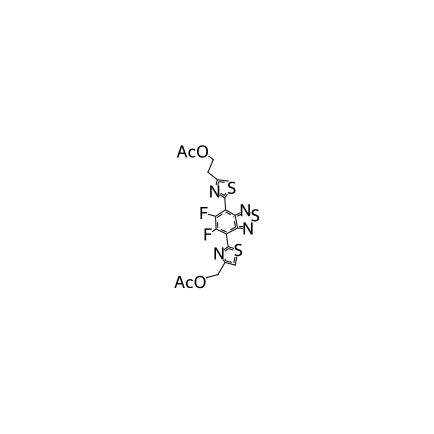 CC(=O)OCCc1csc(-c2c(F)c(F)c(-c3nc(CCOC(C)=O)cs3)c3nsnc23)n1